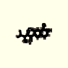 CC(C)C(N)C(=O)Nc1cc2cc[nH]c(=O)c2cc1Cl